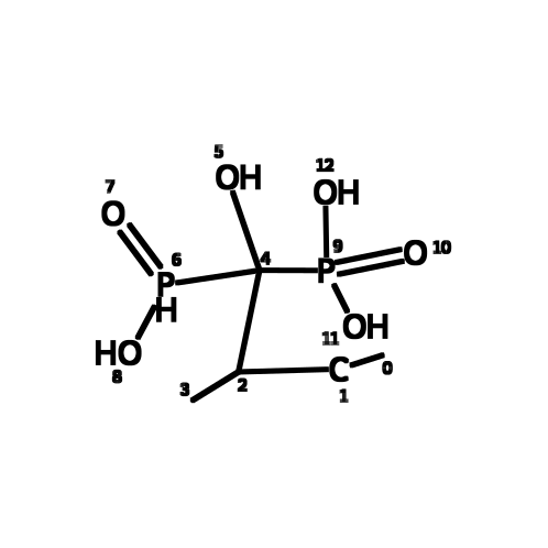 CCC(C)C(O)([PH](=O)O)P(=O)(O)O